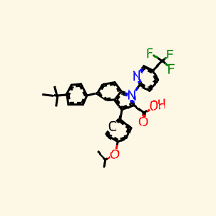 CC(C)Oc1ccc(-c2c(C(=O)O)n(-c3ccc(C(F)(F)F)cn3)c3ccc(-c4ccc(C(C)(C)C)cc4)cc23)cc1